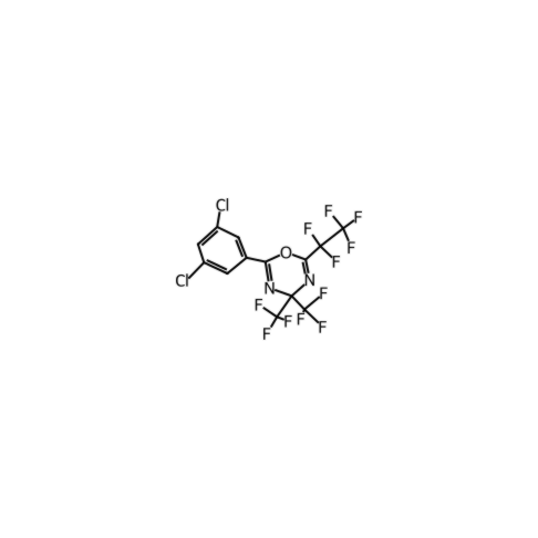 FC(F)(F)C(F)(F)C1=NC(C(F)(F)F)(C(F)(F)F)N=C(c2cc(Cl)cc(Cl)c2)O1